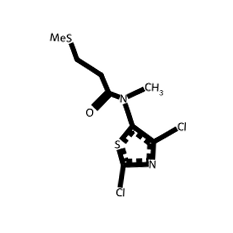 CSCCC(=O)N(C)c1sc(Cl)nc1Cl